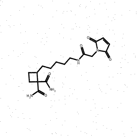 NC(=O)C1(C(N)=O)CCC1CCCCCNC(=O)CN1C(=O)C=CC1=O